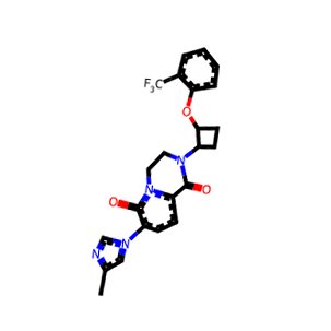 Cc1cn(-c2ccc3n(c2=O)CCN(C2CCC2Oc2ccccc2C(F)(F)F)C3=O)cn1